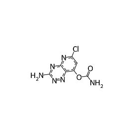 NC(=O)Oc1cc(Cl)nc2nc(N)nnc12